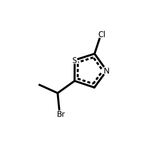 CC(Br)c1cnc(Cl)s1